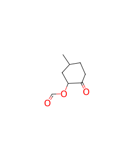 CC1CCC(=O)C(OC=O)C1